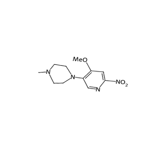 COc1cc([N+](=O)[O-])ncc1N1CCN(C)CC1